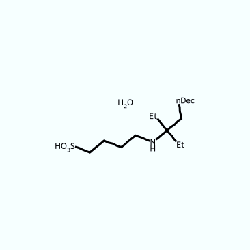 CCCCCCCCCCCC(CC)(CC)NCCCCS(=O)(=O)O.O